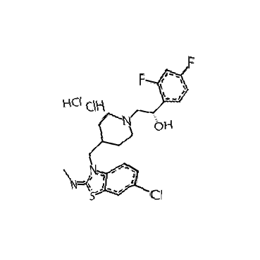 CN=c1sc2cc(Cl)ccc2n1CC1CCN(C[C@@H](O)c2ccc(F)cc2F)CC1.Cl.Cl